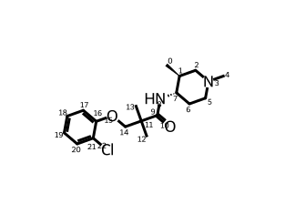 C[C@H]1CN(C)CC[C@@H]1NC(=O)C(C)(C)COc1ccccc1Cl